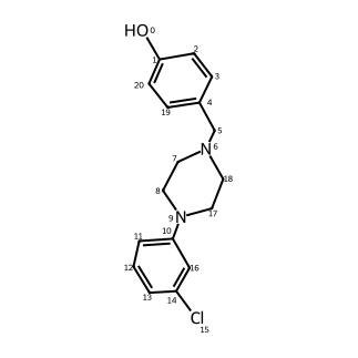 Oc1ccc(CN2CCN(c3cccc(Cl)c3)CC2)cc1